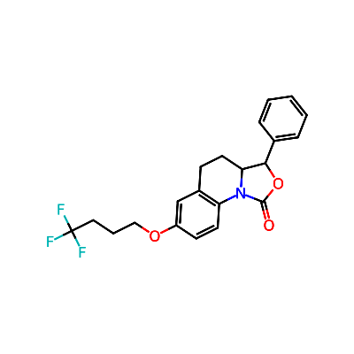 O=C1OC(c2ccccc2)C2CCc3cc(OCCCC(F)(F)F)ccc3N12